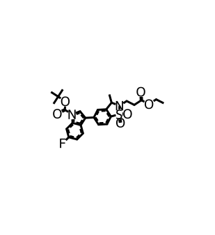 CCOC(=O)CCN1C(C)c2cc(-c3cn(C(=O)OC(C)(C)C)c4cc(F)ccc34)ccc2S1(=O)=O